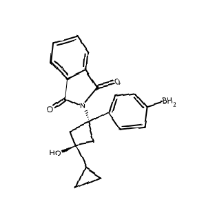 Bc1ccc([C@]2(N3C(=O)c4ccccc4C3=O)C[C@@](O)(C3CC3)C2)cc1